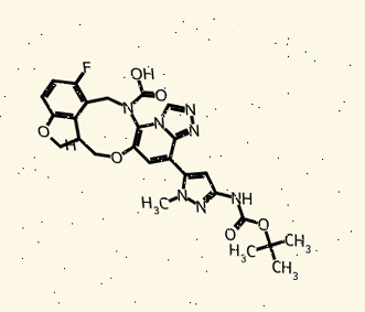 Cn1nc(NC(=O)OC(C)(C)C)cc1-c1cc2c(n3cnnc13)N(C(=O)O)Cc1c(F)ccc3c1[C@@H](CO3)CO2